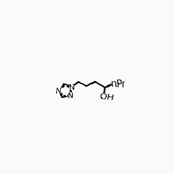 CCCC(O)CCCn1cncn1